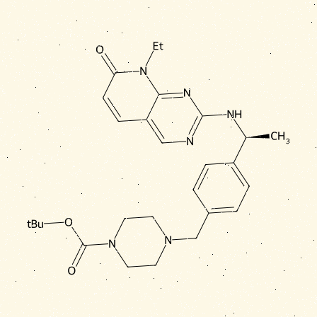 CCn1c(=O)ccc2cnc(N[C@@H](C)c3ccc(CN4CCN(C(=O)OC(C)(C)C)CC4)cc3)nc21